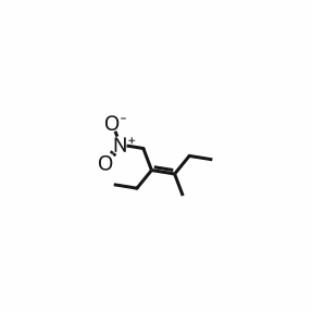 CC/C(C)=C(/CC)C[N+](=O)[O-]